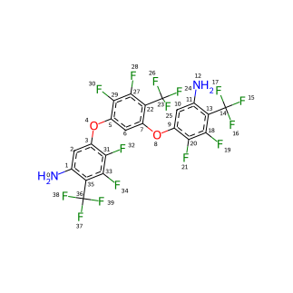 Nc1cc(Oc2cc(Oc3cc(N)c(C(F)(F)F)c(F)c3F)c(C(F)(F)F)c(F)c2F)c(F)c(F)c1C(F)(F)F